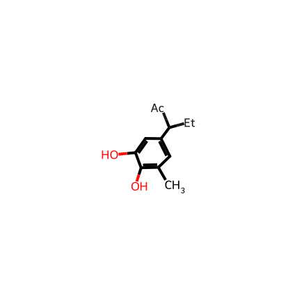 CCC(C(C)=O)c1cc(C)c(O)c(O)c1